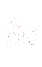 Cc1ccc(-c2ccccc2)cc1C1c2cc(-c3ccccc3)c(-c3ccccc3)cc2C(C)C(OC(=O)c2ccccc2)C1OC(=O)c1ccccc1